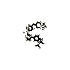 Cc1nc2c(F)cc(-c3nc(Nc4ccc(C=C5CCN(S(C)(=O)=O)CC5)cn4)ncc3F)cc2n1C(C)C